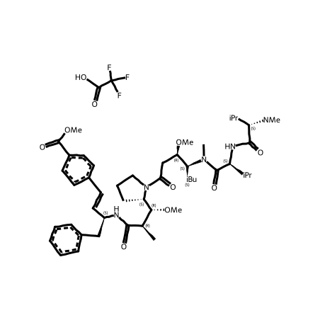 CC[C@H](C)[C@@H]([C@@H](CC(=O)N1CCC[C@H]1[C@H](OC)[C@@H](C)C(=O)N[C@H](C=Cc1ccc(C(=O)OC)cc1)Cc1ccccc1)OC)N(C)C(=O)[C@@H](NC(=O)[C@@H](NC)C(C)C)C(C)C.O=C(O)C(F)(F)F